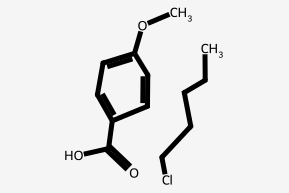 CCCCCCl.COc1ccc(C(=O)O)cc1